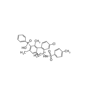 Cc1ccc(S(=O)(=O)N[C@@H](C)c2cc(Cl)ccc2-c2c(C)cc(C)c(P(=O)(O)c3ccccc3)c2C)cc1